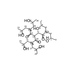 CC(O)CN(CC(C)O)C(=O)CC(C(=O)N(CC(C)O)CC(C)O)C(=O)N(CC(C)O)CC(C)O